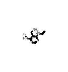 C=CNc1ncnc(NCC)c1CN